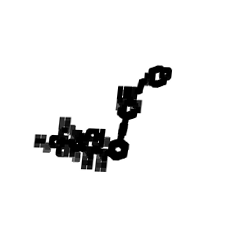 Cn1nc(C(C)(C)C)cc1NC(=O)Nc1cccc(C#Cc2cnc(NCCN3CCOCC3)nc2)c1